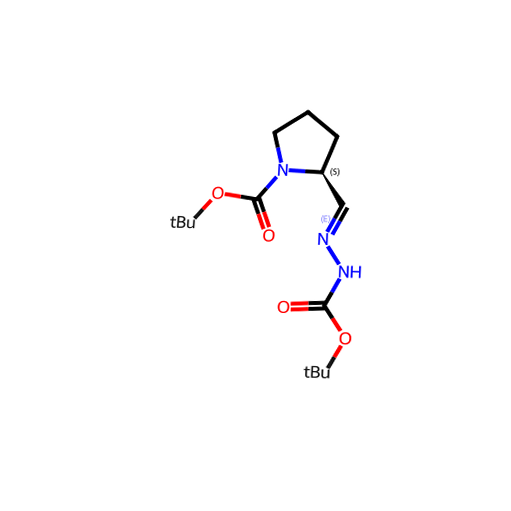 CC(C)(C)OC(=O)N/N=C/[C@@H]1CCCN1C(=O)OC(C)(C)C